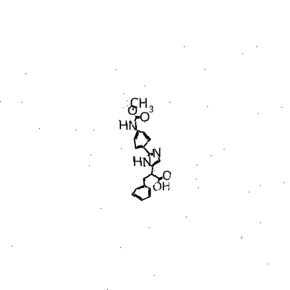 COC(=O)Nc1ccc(-c2ncc(C(Cc3ccccc3)C(=O)O)[nH]2)cc1